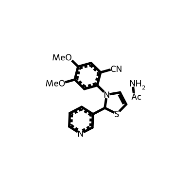 CC(N)=O.COc1cc(C#N)c(N2C=CSC2c2cccnc2)cc1OC